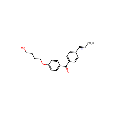 O=C(O)/C=C/c1ccc(C(=O)c2ccc(OCCCCO)cc2)cc1